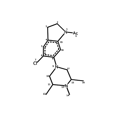 CC(=O)N1CCc2cc(Cl)c(N3CC(C)N(C)C(C)C3)cc21